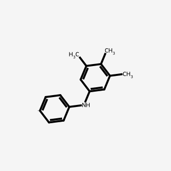 Cc1cc(Nc2cc[c]cc2)cc(C)c1C